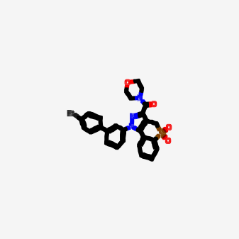 CCc1ccc(-c2cccc(-n3nc(C(=O)N4CCOCC4)c4c3-c3ccccc3S(=O)(=O)C4)c2)cc1